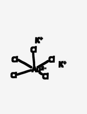 [Cl][Au-2]([Cl])([Cl])([Cl])[Cl].[K+].[K+]